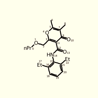 CCCOCc1oc(C)c(C)c(=O)c1C(=O)Nc1c(CC)cccc1CC